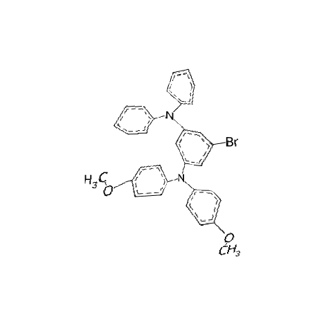 COc1ccc(N(c2ccc(OC)cc2)c2cc(Br)cc(N(c3ccccc3)c3ccccc3)c2)cc1